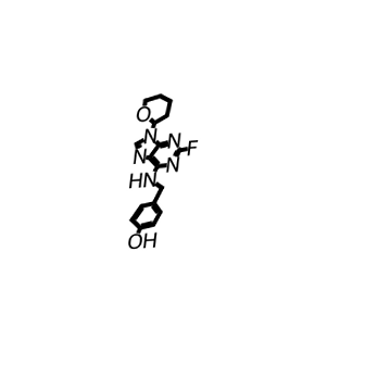 Oc1ccc(CNc2nc(F)nc3c2ncn3C2CCCCO2)cc1